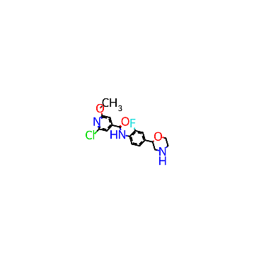 COc1cc(C(=O)Nc2ccc(C3CNCCO3)cc2F)cc(Cl)n1